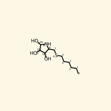 CCCCCCSCC1NC(O)C(O)C1O